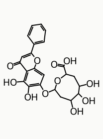 O=C(O)C1CC(O)C(O)C(O)CC(Oc2cc3oc(-c4ccccc4)cc(=O)c3c(O)c2O)O1